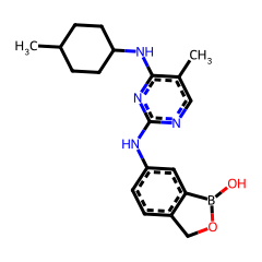 Cc1cnc(Nc2ccc3c(c2)B(O)OC3)nc1NC1CCC(C)CC1